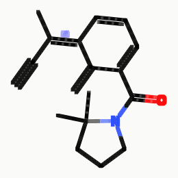 C#C/C(C)=c1/cccc(C(=O)N2CCCC2(C)C)c1=C